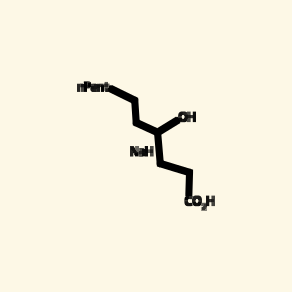 CCCCCCCC(O)CCC(=O)O.[NaH]